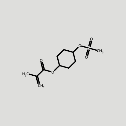 C=C(C)C(=O)OC1CCC(OS(C)(=O)=O)CC1